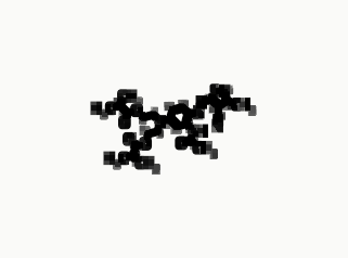 C=C(C)C(=O)OCCN(CCOC(=O)C(=C)C)c1ccc(N=Nc2snc(C)c2C#N)c(NC(C)=O)c1